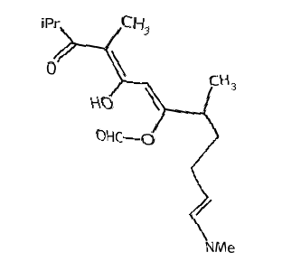 CN/C=C/CCC(C)/C(=C/C(O)=C(\C)C(=O)C(C)C)OC=O